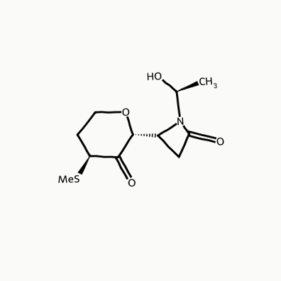 CS[C@H]1CCO[C@H](C2CC(=O)N2[C@H](C)O)C1=O